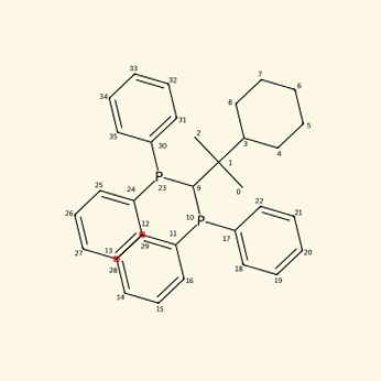 CC(C)(C1CCCCC1)C(P(c1ccccc1)c1ccccc1)P(c1ccccc1)c1ccccc1